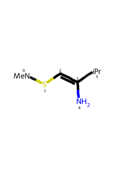 CNS/C=C(\N)C(C)C